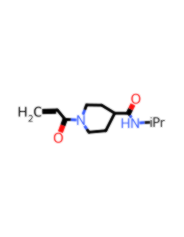 C=CC(=O)N1CCC(C(=O)NC(C)C)CC1